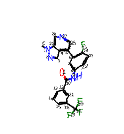 Cn1ncc2c(-c3cc(NC(=O)c4cccc(C(F)(F)F)c4)ccc3F)cncc21